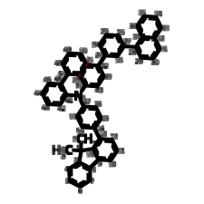 CC1(C)c2ccccc2-c2cccc(-c3ccc(N(c4ccc(-c5cccc(-c6cccc7ccccc67)c5)cc4)c4ccccc4-c4ccccc4)cc3)c21